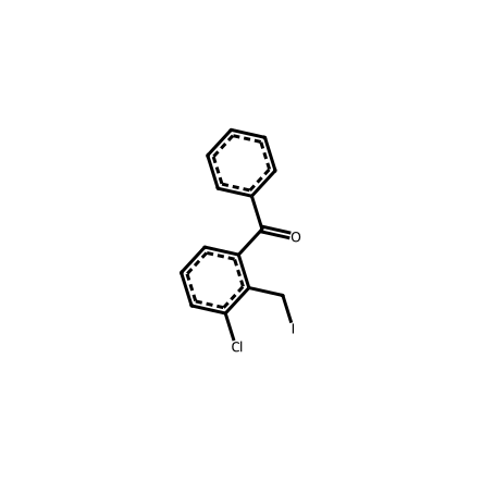 O=C(c1ccccc1)c1cccc(Cl)c1CI